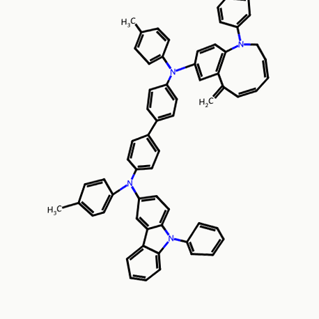 C=C1/C=C\C=C/CN(c2ccccc2)c2ccc(N(c3ccc(C)cc3)c3ccc(-c4ccc(N(c5ccc(C)cc5)c5ccc6c(c5)c5ccccc5n6-c5ccccc5)cc4)cc3)cc21